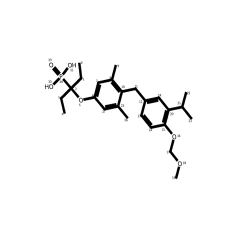 CCC(CC)(Oc1cc(C)c(Cc2ccc(OCOC)c(C(C)C)c2)c(C)c1)P(=O)(O)O